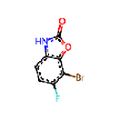 O=c1[nH]c2ccc(F)c(Br)c2o1